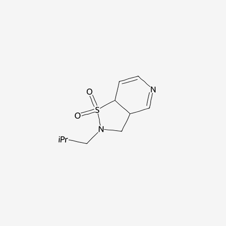 CC(C)CN1CC2C=NC=CC2S1(=O)=O